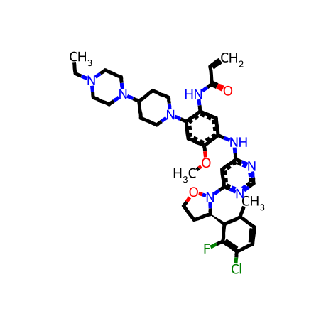 C=CC(=O)Nc1cc(Nc2cc(N3OCC[C@@H]3C3C(F)=C(Cl)C=CC3C)ncn2)c(OC)cc1N1CCC(N2CCN(CC)CC2)CC1